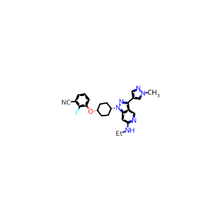 CCNc1cc2c(cn1)c(-c1cnn(C)c1)nn2[C@H]1CC[C@@H](Oc2cccc(C#N)c2F)CC1